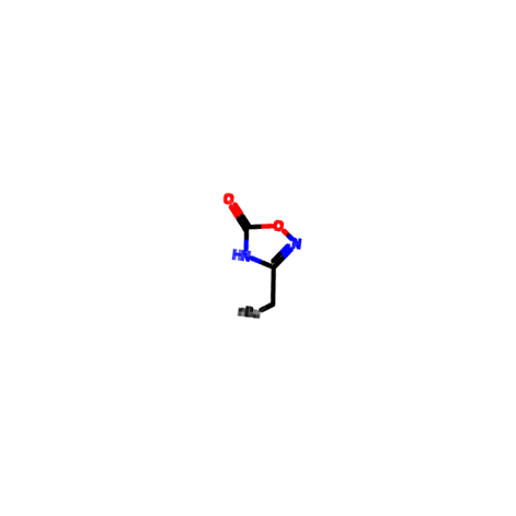 CCCCCc1noc(=O)[nH]1